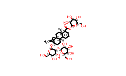 C=C1C[C@@]23CC[C@H]4[C@@](C)(CCC[C@@]4(C)C(=O)O[C@@H]4O[C@H](CO)[C@@H](O)[C@H](O)[C@H]4O)[C@@H]2CC[C@]1(O[C@@H]1O[C@H](CO)[C@@H](O)[C@H](O)[C@H]1O[C@H]1O[C@H](CO)[C@@H](O)[C@H](O)[C@H]1O)C3